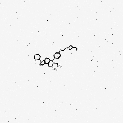 C[C@@H]1Cc2c(ccc3c2cnn3C2CCCCO2)[C@@H](c2ccc(OCCN3CC(CF)C3)cn2)N1CC(F)(F)F